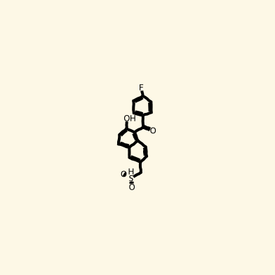 O=C(c1ccc(F)cc1)c1c(O)ccc2cc(C[SH](=O)=O)ccc12